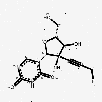 N[C@]1(C#CCF)C(O)[C@@H](CO)O[C@H]1n1cnc(=O)[nH]c1=O